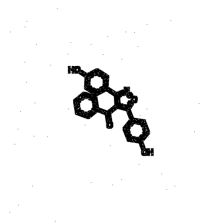 O=C(c1ccccc1)c1c(-c2ccc(O)cc2)noc1-c1ccc(O)cc1